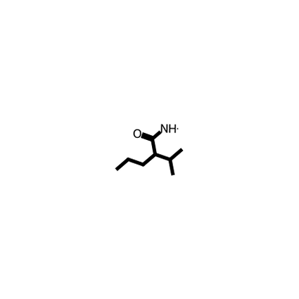 CCCC(C([NH])=O)C(C)C